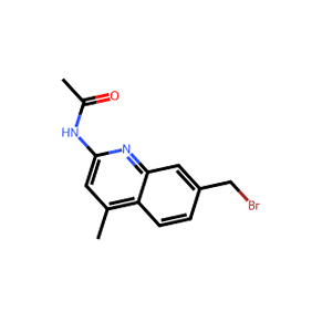 CC(=O)Nc1cc(C)c2ccc(CBr)cc2n1